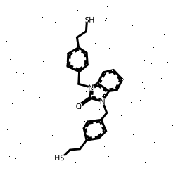 O=c1n(Cc2ccc(CCS)cc2)c2ccccc2n1Cc1ccc(CCS)cc1